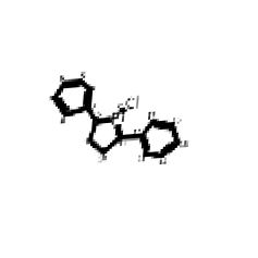 ClP1C(c2ccccc2)CCC1c1ccccc1